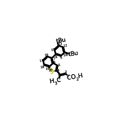 CC(=CC(=O)O)c1cc2c(-c3cc(C(C)(C)C)cc(C(C)(C)C)c3)cccc2s1